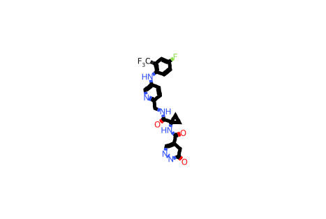 O=C1CC(C(=O)NC2(C(=O)NCc3ccc(Nc4ccc(F)cc4C(F)(F)F)cn3)CC2)=CN=N1